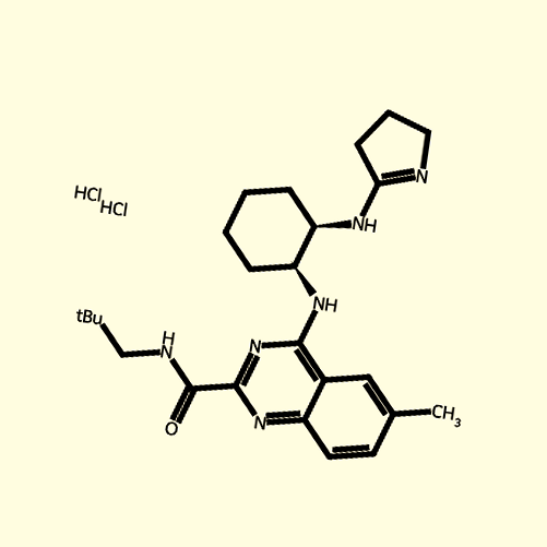 Cc1ccc2nc(C(=O)NCC(C)(C)C)nc(N[C@H]3CCCC[C@H]3NC3=NCCC3)c2c1.Cl.Cl